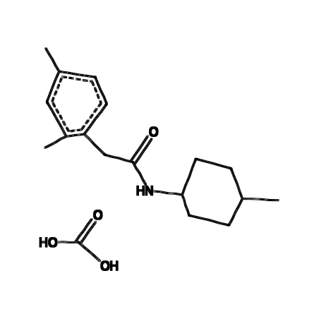 Cc1ccc(CC(=O)NC2CCC(C)CC2)c(C)c1.O=C(O)O